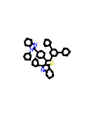 c1ccc(-c2cc(-c3ccccc3)cc(-c3sc4c(c(-c5ccccc5)nc5ccccc54)c3-c3ccc(-c4nc5ccccc5n4-c4ccccc4)cc3)c2)cc1